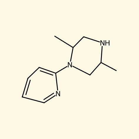 CC1CN(c2ccccn2)C(C)CN1